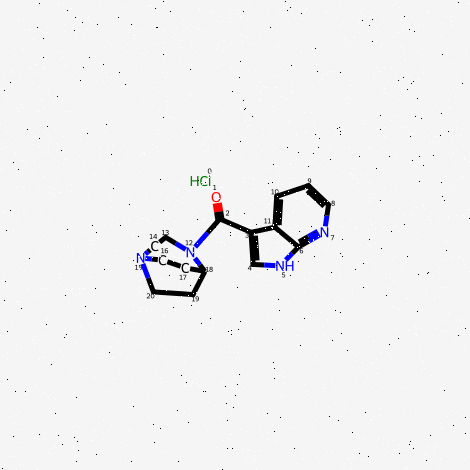 Cl.O=C(c1c[nH]c2ncccc12)N1CCN2CCC1CC2